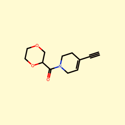 C#CC1=CCN(C(=O)C2COCCO2)CC1